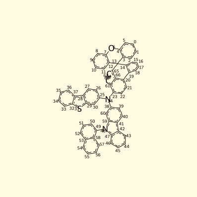 c1ccc2c(c1)Oc1ccccc1C21c2ccccc2-c2ccc(N(c3ccc4c(c3)sc3ccccc34)c3ccc4c5ccccc5n(-c5cccc6ccccc56)c4c3)c3cccc1c23